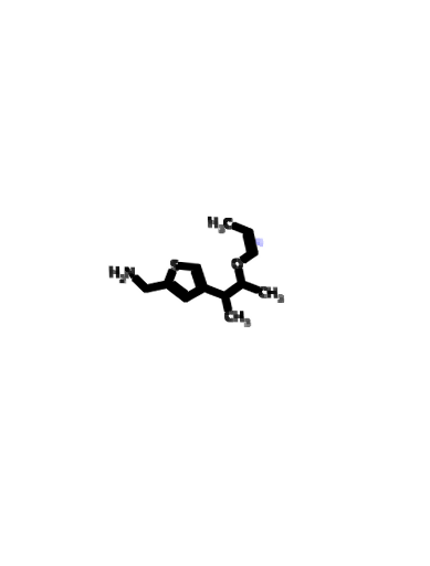 C/C=C\OC(C)C(C)c1csc(CN)c1